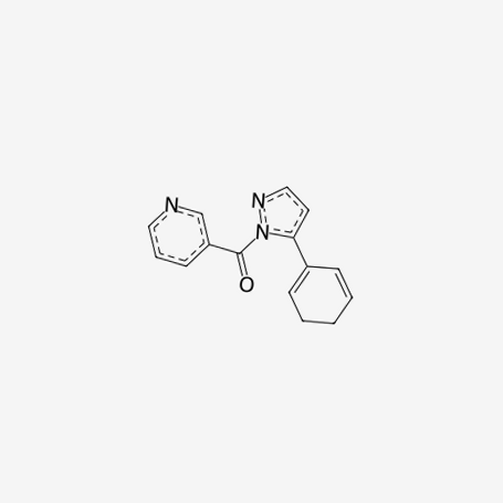 O=C(c1cccnc1)n1nccc1C1=CCCC=C1